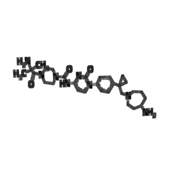 CC(C)(N)C(=O)N1CCN(C(=O)Nc2ccn(-c3ccc(C4(CN5CCCC(N)CC5)CC4)cc3)c(=O)n2)CC1